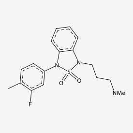 CNCCCN1c2ccccc2N(c2ccc(C)c(F)c2)S1(=O)=O